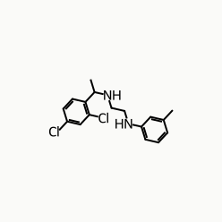 Cc1cccc(NCCNC(C)c2ccc(Cl)cc2Cl)c1